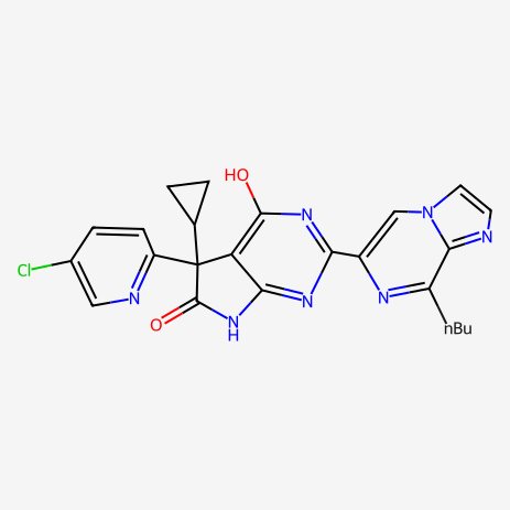 CCCCc1nc(-c2nc(O)c3c(n2)NC(=O)C3(c2ccc(Cl)cn2)C2CC2)cn2ccnc12